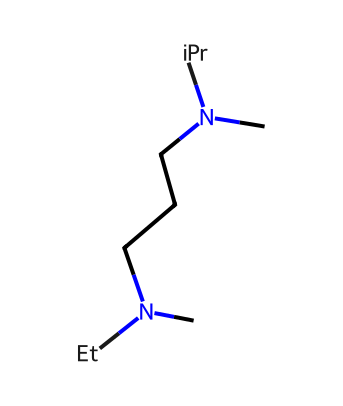 CCN(C)CCCN(C)C(C)C